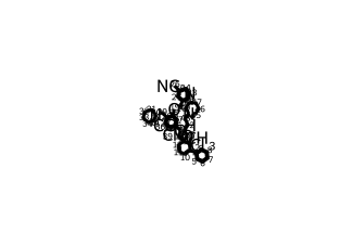 CC1(Cl)C(c2ccccc2)=CC=CC1(COc1cc(OCc2cncc(C#N)c2)c(CN2CCCC[C@H]2C(=O)O)cc1Cl)OCCCN1CCCCC1